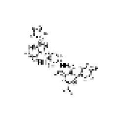 CC(C)c1cc(C(=O)Nc2ccc(-c3nn(C4CCOC4)c4ncnc(N)c34)cc2)c(=O)n(-c2ccc(F)cc2)n1